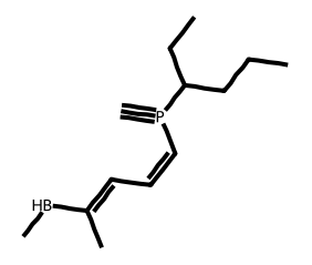 C#P(/C=C\C=C(/C)BC)C(CC)CCC